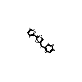 [c]1ccc(C2OC=C(Cc3ccccc3)O2)s1